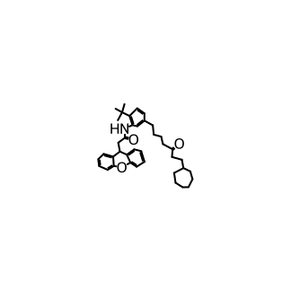 CC(C)(C)c1ccc(CCCCC(=O)CCC2CCCCCC2)cc1NC(=O)CC1c2ccccc2Oc2ccccc21